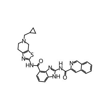 O=C(Nc1nc2c(C(=O)Nc3nc4c(s3)CN(CC3CC3)CC4)cccc2[nH]1)c1cc2ccccc2cn1